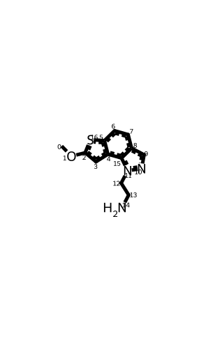 COc1cc2c(ccc3cnn(CCN)c32)s1